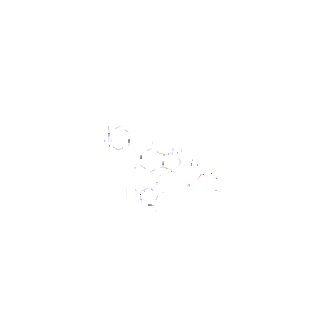 CCNC(=O)Nc1nc2cc(-c3cccnc3)cc(-c3ccc[nH]3)c2s1